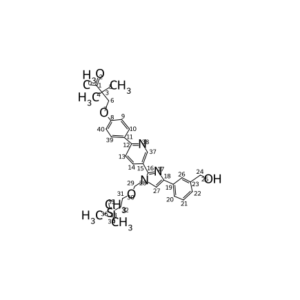 CC(=O)C(C)(C)COc1ccc(-c2ccc(-c3nc(-c4cccc(CO)c4)cn3COCC[Si](C)(C)C)cn2)cc1